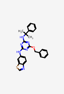 CC(C)(Nc1nc(Nc2ccc3ncsc3c2)nc(OCc2ccccc2)n1)c1ccccc1